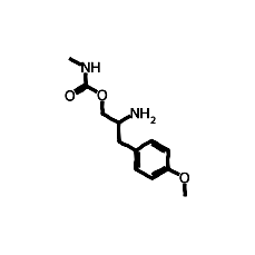 CNC(=O)OCC(N)Cc1ccc(OC)cc1